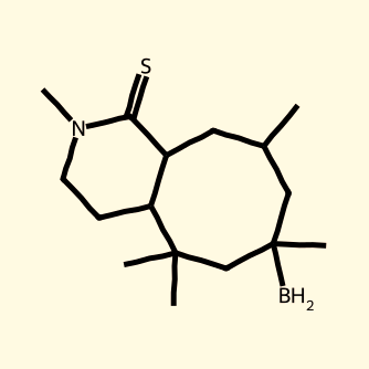 BC1(C)CC(C)CC2C(=S)N(C)CCC2C(C)(C)C1